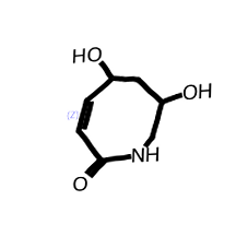 O=C1/C=C\C(O)CC(O)CN1